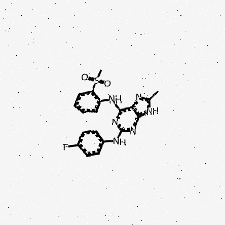 Cc1nc2c(Nc3ccccc3S(C)(=O)=O)nc(Nc3ccc(F)cc3)nc2[nH]1